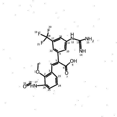 COc1c(C=C(C(=O)O)c2cc(NC(=N)N)cc(C(F)(F)F)c2)cccc1NC=O